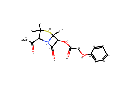 COC(=O)[C@@H]1N2C(=O)[C@H](OC(=O)COc3ccccc3)[C@H]2SC1(C)C